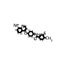 Cc1ccc(C(=O)NC2CCC(Oc3ccnc4c(C#N)cccc34)CC2)cc1F